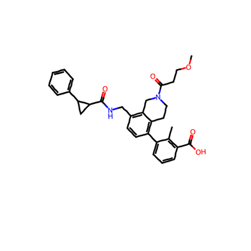 COCCC(=O)N1CCc2c(-c3cccc(C(=O)O)c3C)ccc(CNC(=O)C3CC3c3ccccc3)c2C1